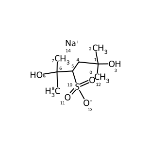 CC(C)(O)CC(C(C)(C)O)S(=O)(=O)[O-].[Na+]